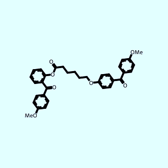 COc1ccc(C(=O)c2ccc(OCCCCCC(=O)Oc3ccccc3C(=O)c3ccc(OC)cc3)cc2)cc1